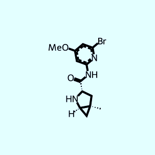 COc1cc(Br)nc(NC(=O)[C@@H]2C[C@@]3(C)C[C@H]3N2)c1